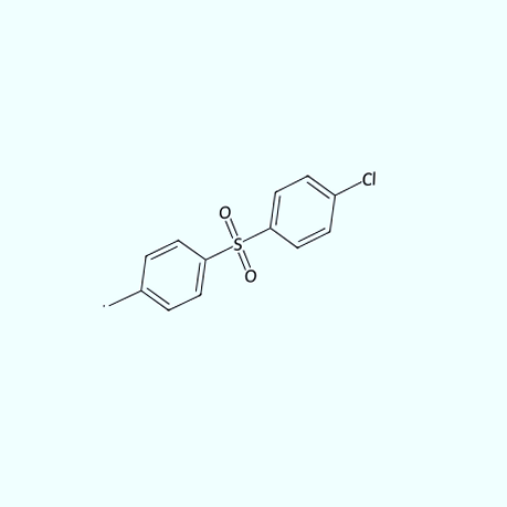 [CH2]c1ccc(S(=O)(=O)c2ccc(Cl)cc2)cc1